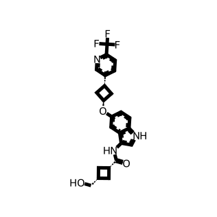 O=C(Nc1c[nH]c2ccc(O[C@H]3C[C@@H](c4ccc(C(F)(F)F)nc4)C3)cc12)[C@H]1C[C@@H](CO)C1